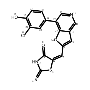 O=C1NC(=S)SC1=Cc1cc2cncc(-c3ccc(O)c(Cl)c3)c2o1